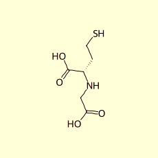 O=C(O)CN[C@@H](CCS)C(=O)O